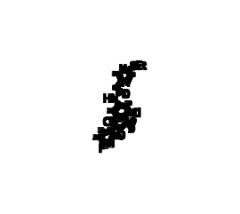 CCSc1ccc(CC(=O)Nc2cc(Cl)c(C3(c4nc5ccc(F)cc5o4)CC3)c(Cl)c2)cn1